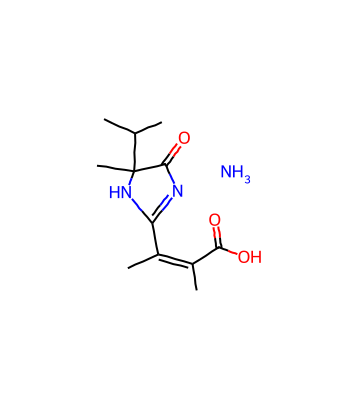 CC(C(=O)O)=C(C)C1=NC(=O)C(C)(C(C)C)N1.N